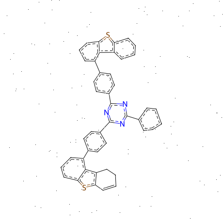 C1=Cc2sc3cccc(-c4ccc(-c5nc(-c6ccccc6)nc(-c6ccc(-c7cccc8sc9ccccc9c78)cc6)n5)cc4)c3c2CC1